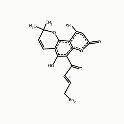 BC/C=C/C(=O)c1c(O)c2c(c3c(CCC)cc(=O)oc13)OC(C)(C)C=C2